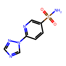 NS(=O)(=O)c1ccc(-n2cncn2)nc1